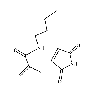 C=C(C)C(=O)NCCCC.O=C1C=CC(=O)N1